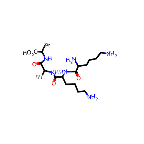 CC(C)C(NC(=O)C(NC(=O)C(CCCCN)NC(=O)C(N)CCCCN)C(C)C)C(=O)O